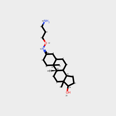 CC12CC[C@H]3C(CCC4CC(=NOCCCN)CCC43C)C1CCC2O